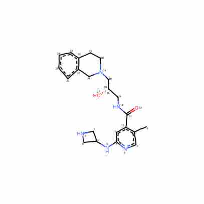 Cc1cnc(NC2CNC2)cc1C(=O)NC[C@H](O)CN1CCc2ccccc2C1